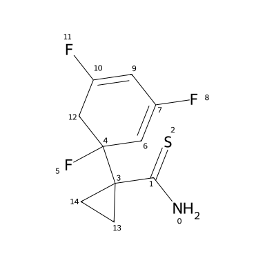 NC(=S)C1(C2(F)C=C(F)C=C(F)C2)CC1